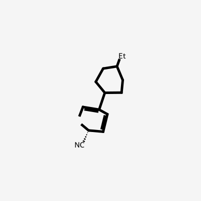 C/C=C(\C=C/[C@@H](C)C#N)C1CCC(CC)CC1